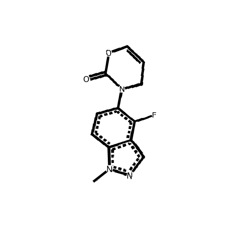 Cn1ncc2c(F)c(N3CC=COC3=O)ccc21